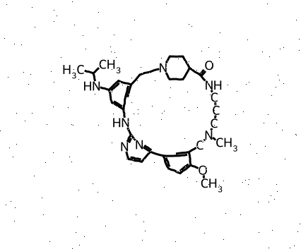 COc1ccc2cc1CN(C)CCCNC(=O)C1CCN(CC1)Cc1cc(cc(NC(C)C)c1)Nc1nccc-2n1